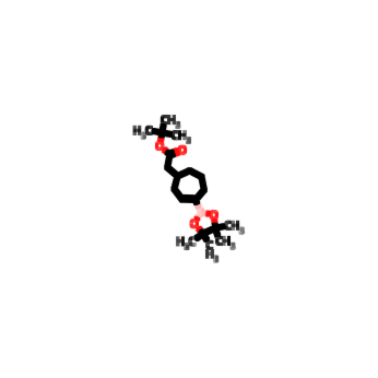 CC(C)(C)OC(=O)CC1CC=C(B2OC(C)(C)C(C)(C)O2)CCC1